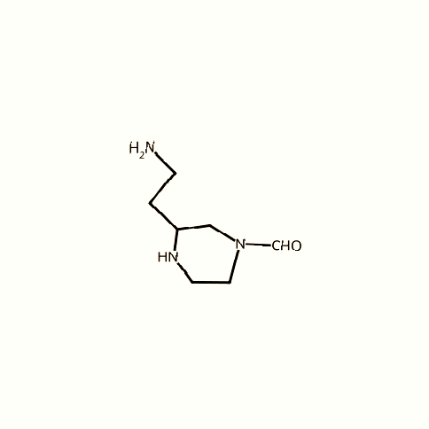 NCCC1CN(C=O)CCN1